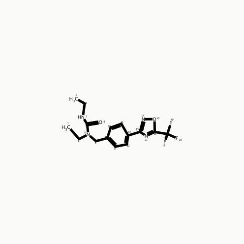 CCNC(=O)N(CC)Cc1ccc(-c2noc(C(F)(F)F)n2)cc1